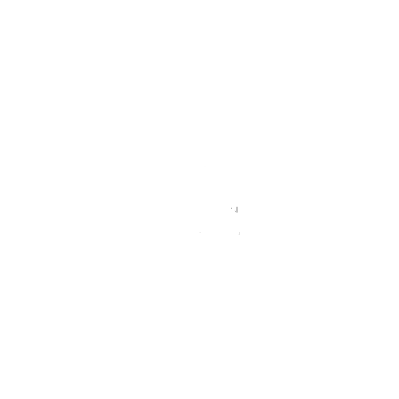 Cc1cccc([C@@H]2NC(=O)OC2(C)C)c1